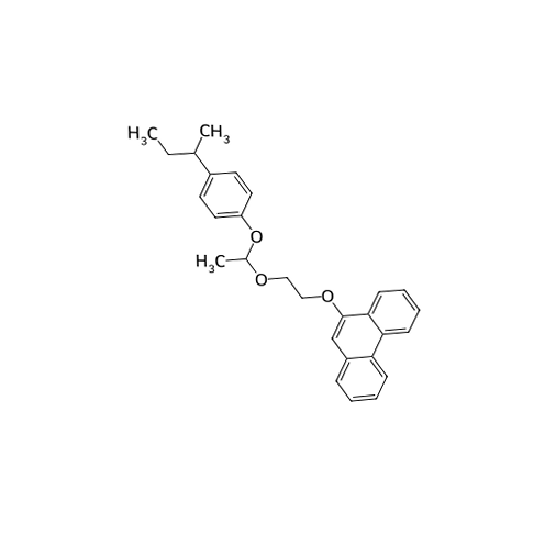 CCC(C)c1ccc(OC(C)OCCOc2cc3ccccc3c3ccccc23)cc1